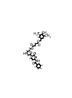 Cc1cc(COC(=O)CCC(=O)OC[C@@H]2CNC[C@H](n3ccc(NC(=O)c4ccccc4)nc3=O)O2)cc(C)c1C